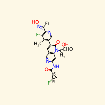 CC/C(=N\O)c1ncc(-c2cc3cnc(NC(=O)[C@H]4C[C@H]4F)cc3n(C)c2=O)c(C)c1F.O=CO